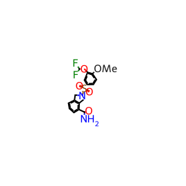 COc1ccc(S(=O)(=O)N2Cc3cccc(C(N)=O)c3C2)cc1OC(F)F